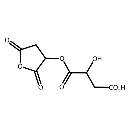 O=C(O)CC(O)C(=O)OC1CC(=O)OC1=O